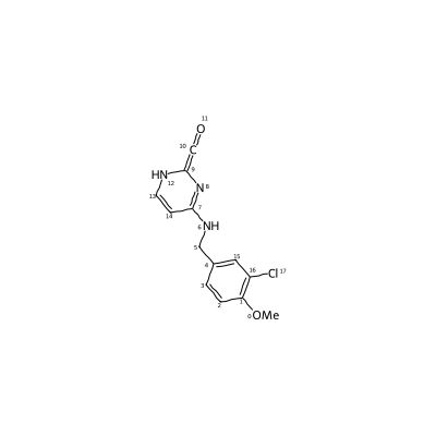 COc1ccc(CNC2=NC(=C=O)NC=C2)cc1Cl